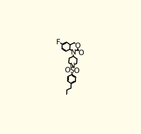 CCCc1ccc(S(=O)(=O)N2CCC(N3C(=O)OCC4C=C(F)C=CC43)CC2)cc1